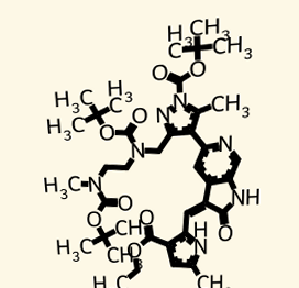 CCOC(=O)c1cc(C)[nH]c1/C=C1\C(=O)Nc2cnc(-c3c(CN(CCN(C)C(=O)OC(C)(C)C)C(=O)OC(C)(C)C)nn(C(=O)OC(C)(C)C)c3C)cc21